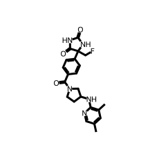 Cc1cnc(NC2CCN(C(=O)c3ccc(C4(CF)NC(=O)NC4=O)cc3)C2)c(C)c1